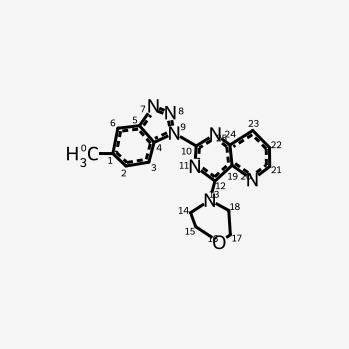 Cc1ccc2c(c1)nnn2-c1nc(N2CCOCC2)c2ncccc2n1